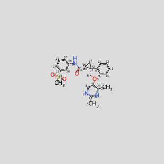 Cc1ncc(OC[C@@]2(c3ccccc3)C[C@H]2C(=O)Nc2cccc(S(C)(=O)=O)c2)c(C)n1